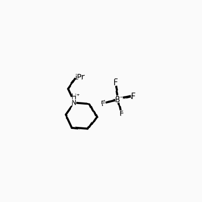 CC(C)C[NH+]1CCCCC1.F[B-](F)(F)F